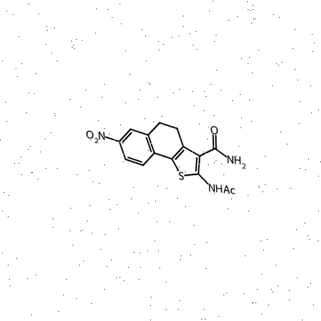 CC(=O)Nc1sc2c(c1C(N)=O)CCc1cc([N+](=O)[O-])ccc1-2